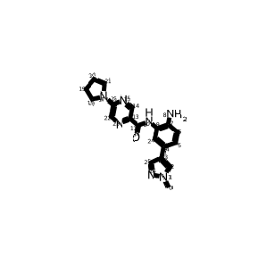 Cn1cc(-c2ccc(N)c(NC(=O)c3cnc(N4CCCC4)cn3)c2)cn1